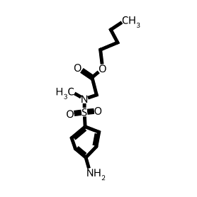 CCCCOC(=O)CN(C)S(=O)(=O)c1ccc(N)cc1